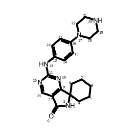 O=C1NC2(CCCCC2)c2nc(Nc3ccc(N4CCNCC4)cc3)ncc21